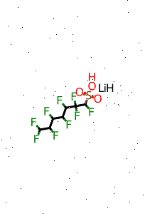 O=S(=O)(O)C(F)C(F)(F)C(F)C(F)C(F)C(F)C(F)F.[LiH]